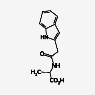 CC(NC(=O)Cc1cc2ccccc2[nH]1)C(=O)O